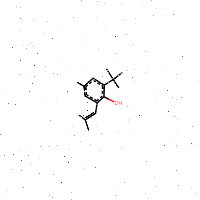 CC(C)=Cc1cc(C)cc(C(C)(C)C)c1O